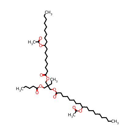 CCCCCCCCCC(CCCCCCCC(=O)OCC(CC)(COC(=O)CCCC)COC(=O)CCCCCCCC(CCCCCCCCC)OC(C)=O)OC(C)=O